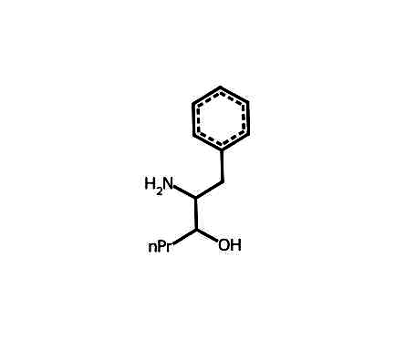 CCCC(O)C(N)Cc1ccccc1